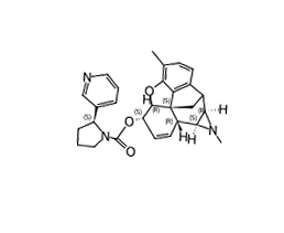 Cc1ccc2c3c1O[C@H]1[C@@H](OC(=O)N4CCC[C@H]4c4cccnc4)C=C[C@H]4[C@H]5[C@@H](C2C[C@@]341)N5C